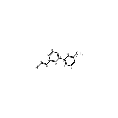 Cc1cccc(-c2cccc(C=CI)c2)c1